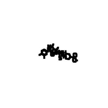 COC(=O)C1CCN(C(=S)NN/C(C)=C2\C(=O)N(c3ccc(C)c(C)c3)N=C2C)CC1